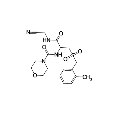 Cc1ccccc1CS(=O)(=O)CC(NC(=O)N1CCOCC1)C(=O)NCC#N